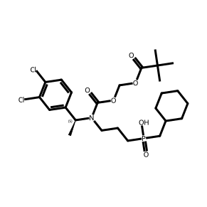 C[C@@H](c1ccc(Cl)c(Cl)c1)N(CCCP(=O)(O)CC1CCCCC1)C(=O)OCOC(=O)C(C)(C)C